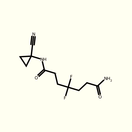 N#CC1(NC(=O)[CH]CC(F)(F)CCC(N)=O)CC1